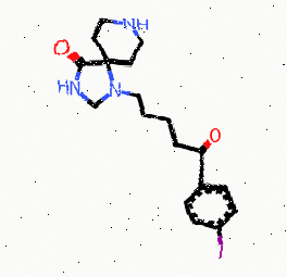 O=C(CCCCN1CNC(=O)C12CCNCC2)c1ccc(I)cc1